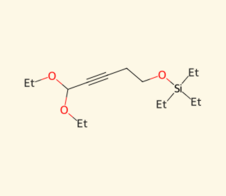 CCOC(C#CCCO[Si](CC)(CC)CC)OCC